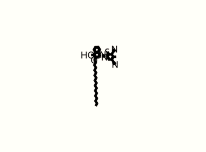 CCCCCCCCCCCCCCCCCCOc1cc(N=NC2=CC(C#N)=C(C)C(C#N)C2=S)c2ccccc2c1O